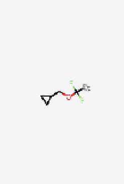 CCC(F)(F)OCC1CC1